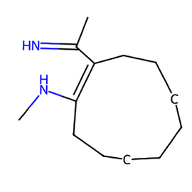 CN/C1=C(\C(C)=N)CCCCCCCC1